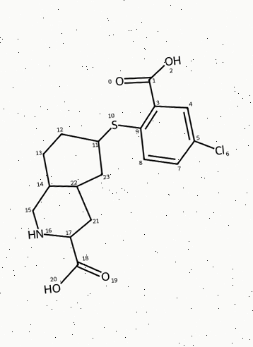 O=C(O)c1cc(Cl)ccc1SC1CCC2CNC(C(=O)O)CC2C1